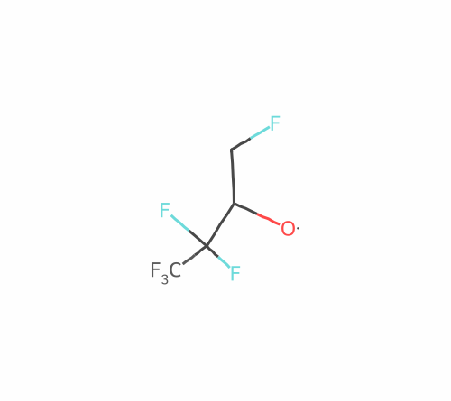 [O]C(CF)C(F)(F)C(F)(F)F